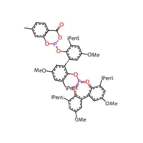 CCCC(C)c1cc(OC)cc(-c2cc(OC)cc(C(C)CCC)c2Op2oc3c(C(C)CCC)cc(OC)cc3c3cc(OC)cc(C(C)CCC)c3o2)c1OP1OC(=O)c2ccc(C)cc2O1